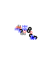 CCS(=O)(=O)Nc1cc(NC(=O)N[C@H]2CC[C@@H](Oc3ccc4nnc(C5(C)CCCN5C)n4c3)c3ccccc32)cc(C(C)(C)C)n1